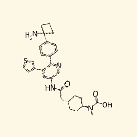 CN(C(=O)O)[C@H]1CC[C@H](CC(=O)Nc2cnc(-c3ccc(C4(N)CCC4)cc3)c(-c3ccsc3)c2)CC1